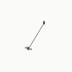 O=C=NCCCCCCCCCCCCCCCCCCCCCCCCCCCCCCCCCCCCCCP(=O)(O)O